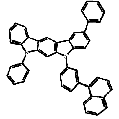 c1ccc(-c2ccc3c(c2)c2cc4c5ccccc5n(-c5ccccc5)c4cc2n3-c2cccc(-c3cccc4ccccc34)c2)cc1